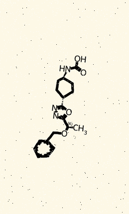 C[C@@H](OCc1ccccc1)c1nnc([C@H]2CC[C@H](NC(=O)O)CC2)o1